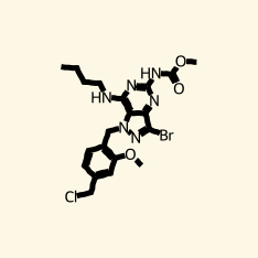 CCCCNc1nc(NC(=O)OC)nc2c(Br)nn(Cc3ccc(CCl)cc3OC)c12